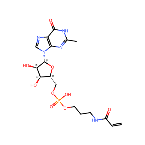 C=CC(=O)NCCCOP(=O)(O)OC[C@H]1O[C@@H](n2cnc3c(=O)[nH]c(C)nc32)[C@H](O)[C@@H]1O